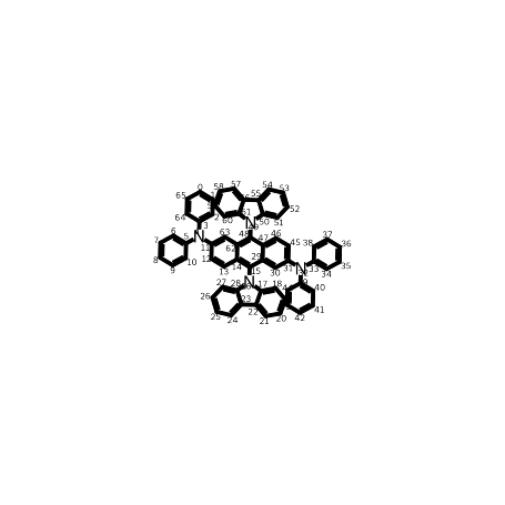 c1ccc(N(c2ccccc2)c2ccc3c(-n4c5ccccc5c5ccccc54)c4cc(N(c5ccccc5)c5ccccc5)ccc4c(-n4c5ccccc5c5ccccc54)c3c2)cc1